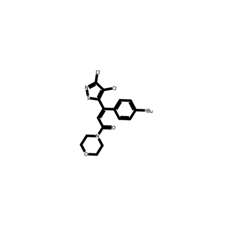 CC(C)(C)c1ccc(/C(=C\C(=O)N2CCOCC2)c2snc(Cl)c2Cl)cc1